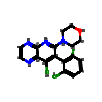 Fc1cccc(Cl)c1-c1c(N2CCOCC2)nc2nccnc2c1Cl